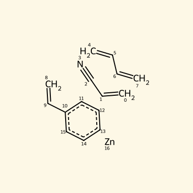 C=CC#N.C=CC=C.C=Cc1ccccc1.[Zn]